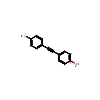 O=[N+]([O-])c1ccc(C#Cc2ccc(O)cc2)cc1